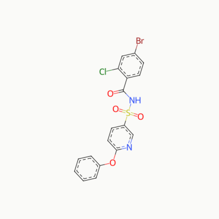 O=C(NS(=O)(=O)c1ccc(Oc2ccccc2)nc1)c1ccc(Br)cc1Cl